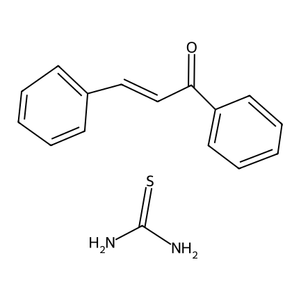 NC(N)=S.O=C(C=Cc1ccccc1)c1ccccc1